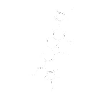 CO/N=C(/C(=O)NC1C(=O)N2C(C(=O)O)=C(CSc3nnc(C)s3)CS[C@H]12)c1nsc(N)n1